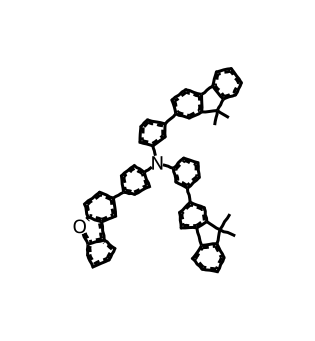 CC1(C)c2ccccc2-c2ccc(-c3cccc(N(c4ccc(-c5ccc6oc7ccccc7c6c5)cc4)c4cccc(-c5ccc6c(c5)C(C)(C)c5ccccc5-6)c4)c3)cc21